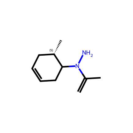 C=C(C)N(N)C1CC=CC[C@@H]1C